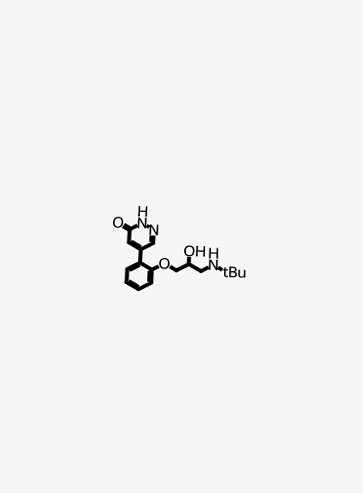 CC(C)(C)NCC(O)COc1ccccc1-c1cn[nH]c(=O)c1